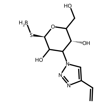 BS[C@H]1OC(CO)[C@H](O)C(n2cc(C=C)nn2)C1O